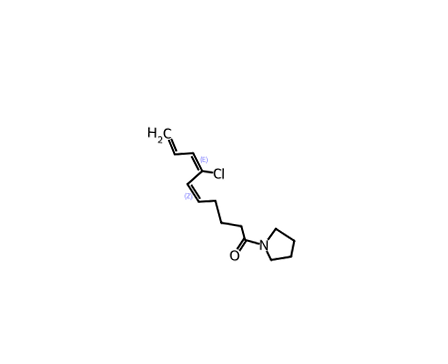 C=C/C=C(Cl)\C=C/CCCC(=O)N1CCCC1